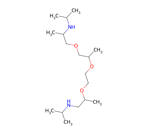 CC(C)NCC(C)OCCOC(C)COCC(C)NC(C)C